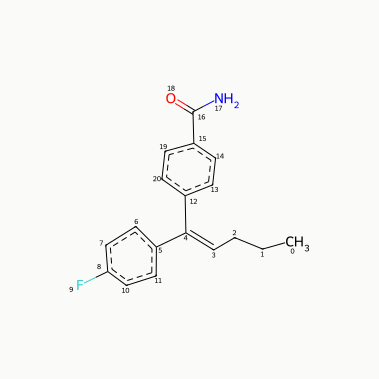 CCC/C=C(/c1ccc(F)cc1)c1ccc(C(N)=O)cc1